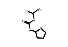 CCCC(CC)OC(=O)OC1CCC[N]1